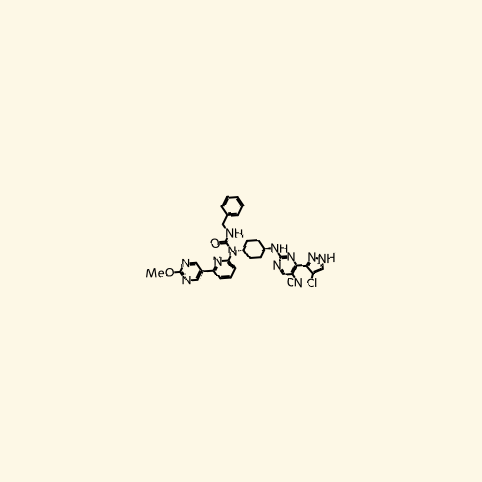 COc1ncc(-c2cccc(N(C(=O)NCc3ccccc3)[C@H]3CC[C@H](Nc4ncc(C#N)c(-c5n[nH]cc5Cl)n4)CC3)n2)cn1